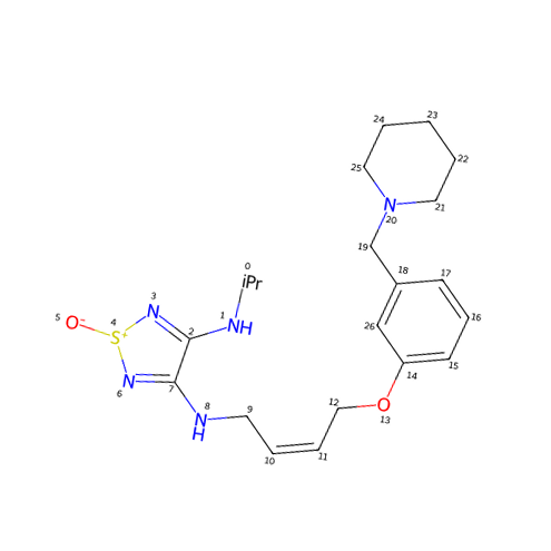 CC(C)Nc1n[s+]([O-])nc1NC/C=C\COc1cccc(CN2CCCCC2)c1